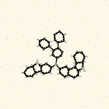 c1ccc(-c2ccc(N(c3ccc4c(c3)oc3ccccc34)c3ccc4ccc5oc6ccccc6c5c4c3)cc2-c2ccccc2)cc1